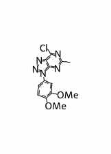 COc1ccc(-n2nnc3c(Cl)nc(C)nc32)cc1OC